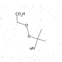 CCCC(C)(C)OOCC(=O)O